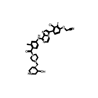 Cc1cc(Nc2nccn3c(-c4ccc(OCC#N)c(F)c4Cl)cnc23)ccc1C(=O)N1CCN(C[C@@H]2CCNCC2O)CC1